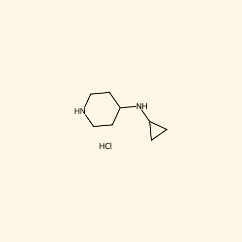 C1CC(NC2CC2)CCN1.Cl